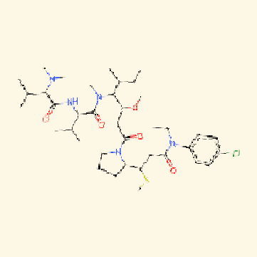 CCC(C)C(C(CC(=O)N1CCCC1C(CC(=O)N(CC)c1ccc(Cl)cc1)SC)OC)N(C)C(=O)C(NC(=O)C(C(C)C)N(C)C)C(C)C